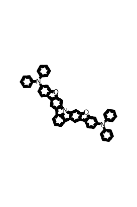 c1ccc(N(c2ccccc2)c2ccc3c(c2)oc2cc4c(cc23)c2cccc3c5cc6c(cc5n4c23)oc2cc(N(c3ccccc3)c3ccccc3)ccc26)cc1